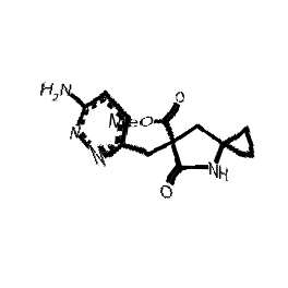 COC(=O)C1(Cc2ccc(N)nn2)CC2(CC2)NC1=O